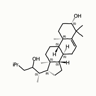 CC(C)CC(O)[C@@H](C)[C@H]1CC[C@H]2[C@@H]3CC=C4C(C)(C)[C@@H](O)CC[C@]4(C)[C@H]3CC[C@]12C